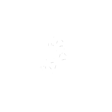 Nc1c(C(F)(F)F)ccc(Oc2cc(Oc3ccc(C(F)(F)F)c(N)c3C(F)(F)F)c(C(F)(F)F)c(C(F)(F)F)c2)c1C(F)(F)F